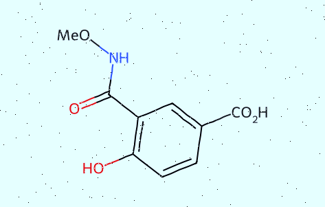 CONC(=O)c1cc(C(=O)O)ccc1O